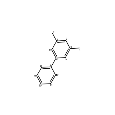 Cc1cc(C)cc(-c2cc[c]cc2)c1